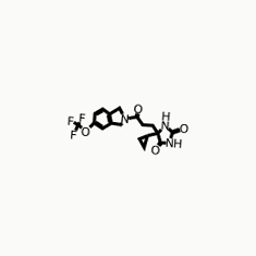 O=C1NC(=O)C(CCC(=O)N2Cc3ccc(OC(F)(F)F)cc3C2)(C2CC2)N1